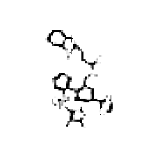 Cc1noc(NS(=O)(=O)c2ccccc2-c2ccc(-c3ncco3)cc2CN(C)C(=O)CCc2nc3ccccc3n2C)c1C